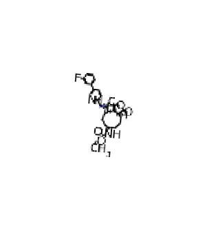 CCOC(=O)N[C@@H]1CCC[C@@H](/C=C/c2ccc(-c3cccc(F)c3)cn2)[C@@H]2[C@H](C)OC(=O)[C@@H]2CCC1